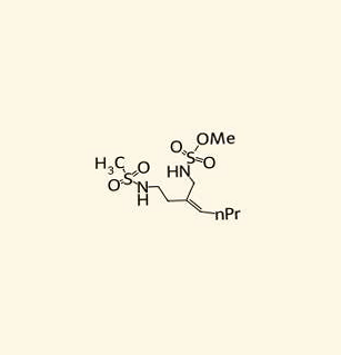 CCC/C=C(/CCNS(C)(=O)=O)CNS(=O)(=O)OC